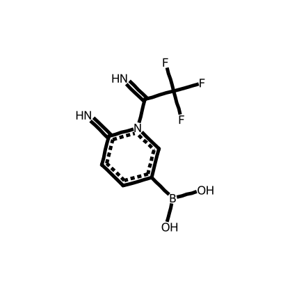 N=C(n1cc(B(O)O)ccc1=N)C(F)(F)F